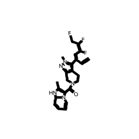 C=C/C(=C\C(F)=C(\F)CF)c1c2c(nn1C)CN(C(=O)C1=C(C)NC3C=CC=CN13)CC2